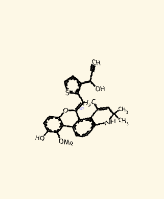 C#CC(O)c1ccsc1/C=C1\Oc2ccc(O)c(OC)c2-c2ccc3c(c21)C(C)=CC(C)(C)N3